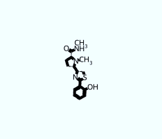 CNC(=O)[C@H]1CC[C@@H]([C@@H]2CSC(c3ccccc3O)=N2)N1C